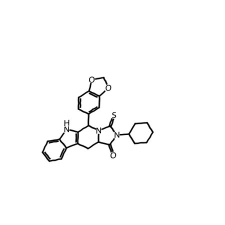 O=C1C2Cc3c([nH]c4ccccc34)C(c3ccc4c(c3)OCO4)N2C(=S)N1C1CCCCC1